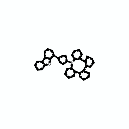 c1ccc2c(c1)oc1c(-c3ccc(-n4c5ccccc5c5ccccc5c5ccccc5c5ccccc54)cc3)cccc12